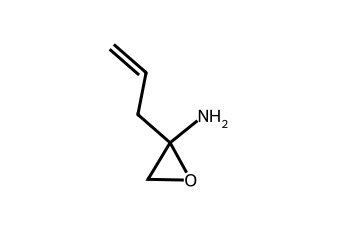 C=CCC1(N)CO1